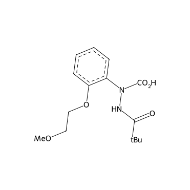 COCCOc1ccccc1N(NC(=O)C(C)(C)C)C(=O)O